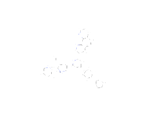 C=Cc1cc(-c2cc(-c3ccc(-c4ccccc4)cc3)cc(-c3cnc4c(ccc5cccnc54)c3)n2)cnc1-c1ncccc1C